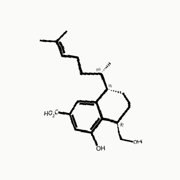 CC(C)=CCC[C@H](C)[C@@H]1CC[C@@H](CO)c2c(O)cc(C(=O)O)cc21